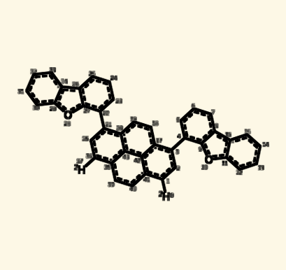 [2H]c1cc(-c2cccc3c2oc2ccccc23)c2ccc3c(-c4cccc5c4oc4ccccc45)cc([2H])c4ccc1c2c43